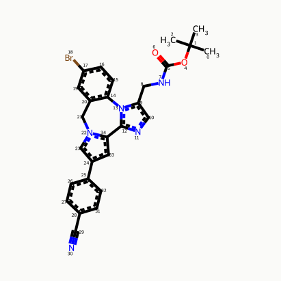 CC(C)(C)OC(=O)NCc1cnc2n1-c1ccc(Br)cc1Cn1cc(-c3ccc(C#N)cc3)cc1-2